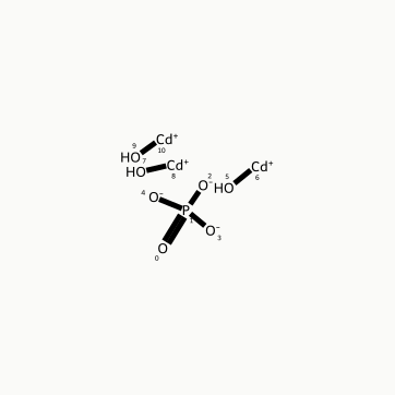 O=P([O-])([O-])[O-].[OH][Cd+].[OH][Cd+].[OH][Cd+]